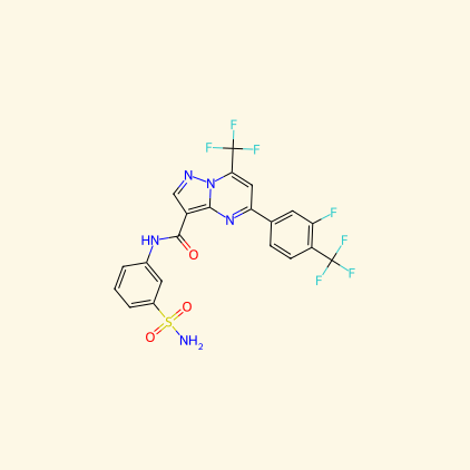 NS(=O)(=O)c1cccc(NC(=O)c2cnn3c(C(F)(F)F)cc(-c4ccc(C(F)(F)F)c(F)c4)nc23)c1